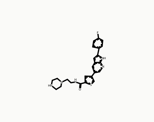 O=C(NCCN1CCNCC1)c1cc(-c2cnc3[nH]c(-c4ccc(F)cc4)cc3c2)cs1